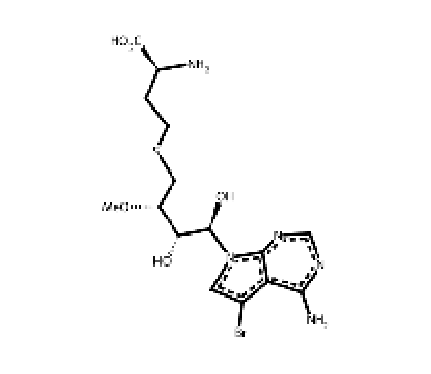 CO[C@H](CSCC[C@H](N)C(=O)O)[C@@H](O)[C@@H](O)n1cc(Br)c2c(N)ncnc21